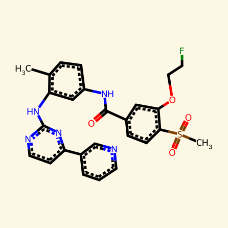 Cc1ccc(NC(=O)c2ccc(S(C)(=O)=O)c(OCCF)c2)cc1Nc1nccc(-c2cccnc2)n1